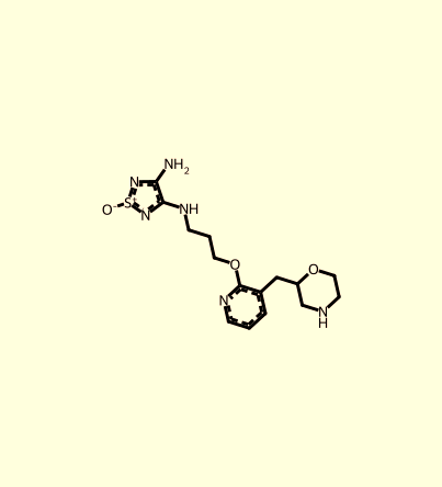 Nc1n[s+]([O-])nc1NCCCOc1ncccc1CC1CNCCO1